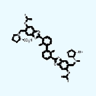 Cc1c(-c2nc3cc(CN(C)[C@@H]4CCC[C@@H]4O)c(OC(F)F)cc3o2)cccc1-c1cccc(-c2nc3cc(CN4CCC[C@H]4C(=O)O)c(OC(F)F)cc3o2)c1C